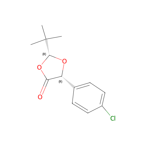 CC(C)(C)[C@H]1OC(=O)[C@@H](c2ccc(Cl)cc2)O1